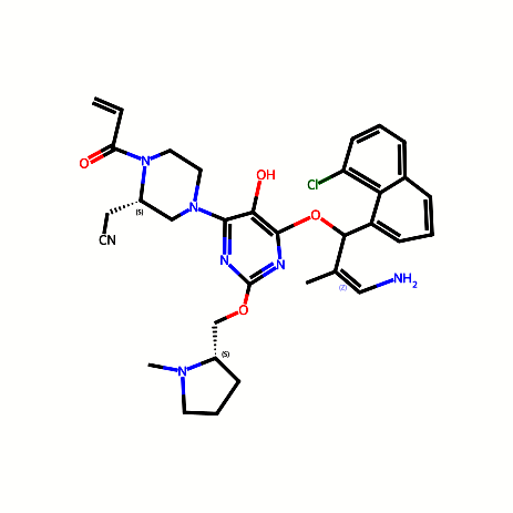 C=CC(=O)N1CCN(c2nc(OC[C@@H]3CCCN3C)nc(OC(/C(C)=C\N)c3cccc4cccc(Cl)c34)c2O)C[C@@H]1CC#N